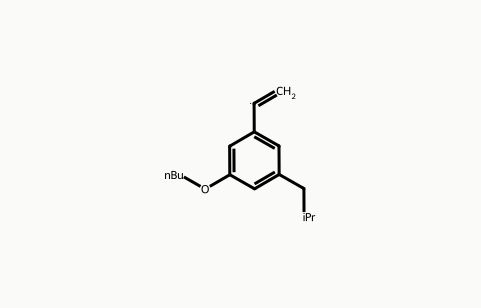 C=[C]c1cc(CC(C)C)cc(OCCCC)c1